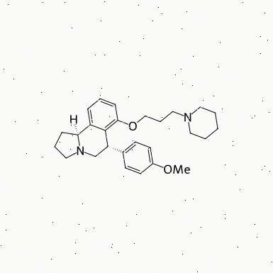 COc1ccc([C@@H]2CN3CCC[C@H]3c3cccc(OCCCN4CCCCC4)c32)cc1